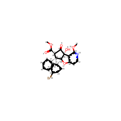 COC(=O)[C@H]1C(=O)[C@@]2(O)c3c(ccnc3OC)O[C@@]2(c2ccc(Br)cc2)[C@@H]1c1ccccc1